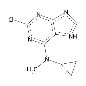 CN(c1nc(Cl)nc2nc[nH]c12)C1CC1